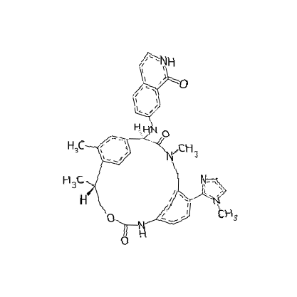 Cc1cc2ccc1[C@@H](C)COC(=O)Nc1ccc(-c3nccn3C)c(c1)CN(C)C(=O)[C@@H]2Nc1ccc2cc[nH]c(=O)c2c1